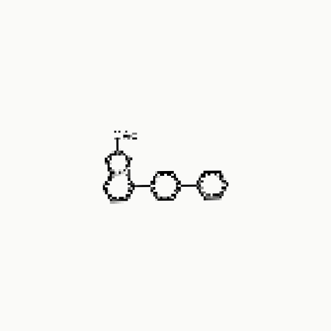 CC(=O)Oc1cc2cccc(-c3ccc(-c4ccccc4)cc3)n2c1